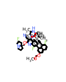 COCOc1cc(-c2ccc3c(N4C[C@H](C)N[C@@H](C)C4)c(C#N)c(OC[C@@]45CCCN4C[C@H](F)C5)nc3c2F)c2c(C#C[Si](C(C)C)(C(C)C)C(C)C)c(F)ccc2c1